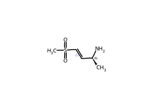 C[C@H](N)/C=C/S(C)(=O)=O